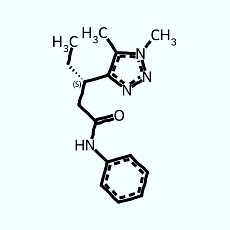 CC[C@@H](CC(=O)Nc1ccccc1)c1nnn(C)c1C